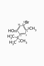 Cc1cc(C(C)(C)C)c(O)cc1Br